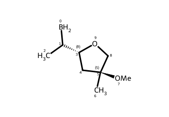 BC(C)[C@H]1C[C@](C)(OC)CO1